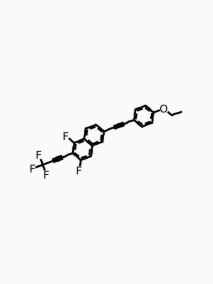 CCOc1ccc(C#Cc2ccc3c(F)c(C#CC(F)(F)F)c(F)cc3c2)cc1